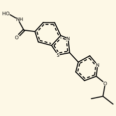 CC(C)Oc1ccc(-c2nc3ccc(C(=O)NO)cc3s2)cn1